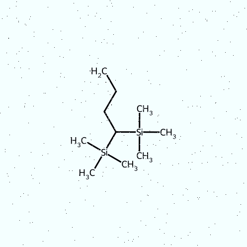 [CH2]CCC([Si](C)(C)C)[Si](C)(C)C